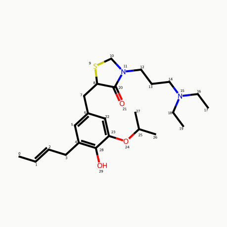 CC=CCc1cc(CC2SCN(CCCN(CC)CC)C2=O)cc(OC(C)C)c1O